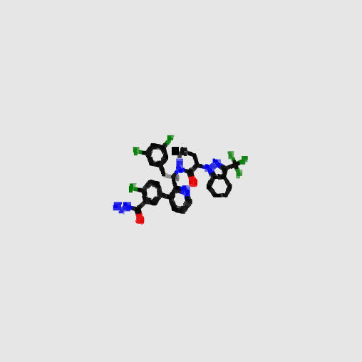 CCC(C(=O)N[C@@H](Cc1cc(F)cc(F)c1)c1ncccc1-c1ccc(F)c(C(N)=O)c1)n1nc(C(F)(F)F)c2c1CCCC2